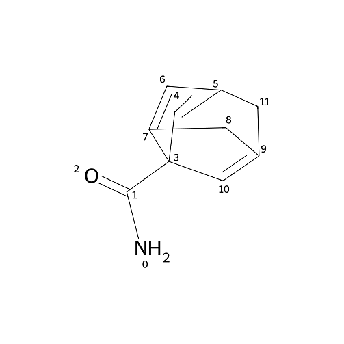 NC(=O)C12C=C3C=C1CC(=C2)C3